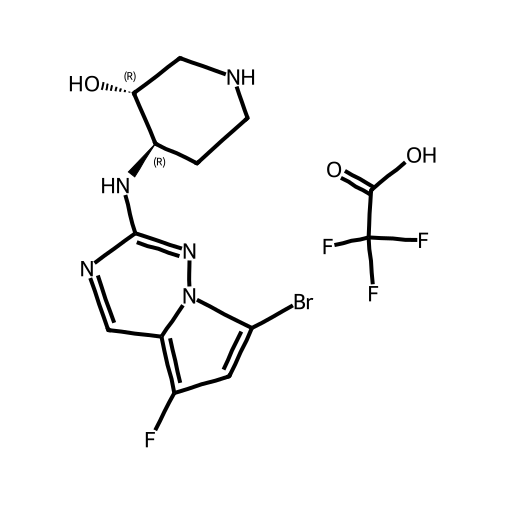 O=C(O)C(F)(F)F.O[C@@H]1CNCC[C@H]1Nc1ncc2c(F)cc(Br)n2n1